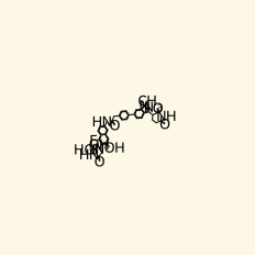 Cn1nc(C2CCC(=O)NC2=O)c2ccc(-c3ccc(CC(=O)Nc4ccc5c(F)c(N6CC(=O)NS6(O)O)c(O)cc5c4)cc3)cc21